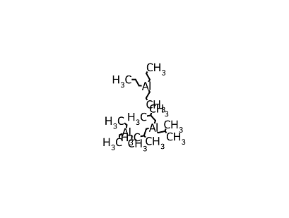 CC(C)[CH2][Al]([CH2]C(C)C)[CH2]C(C)C.CC[CH2][Al]([CH2]CC)[CH2]CC.C[CH2][Al]([CH2]C)[CH2]C